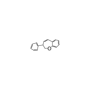 C1=CC(c2ccccc2)COc2ccccc21